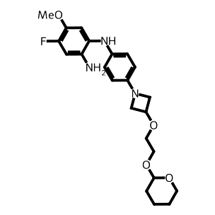 COc1cc(Nc2ccc(N3CC(OCCOC4CCCCO4)C3)cc2)c(N)cc1F